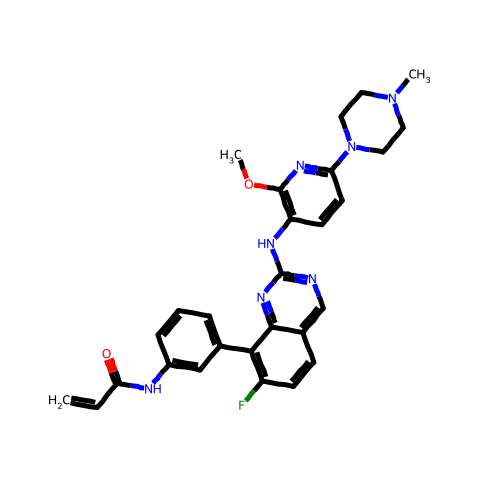 C=CC(=O)Nc1cccc(-c2c(F)ccc3cnc(Nc4ccc(N5CCN(C)CC5)nc4OC)nc23)c1